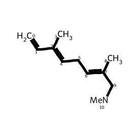 C=C/C(C)=C/C/C=C(\C)CNC